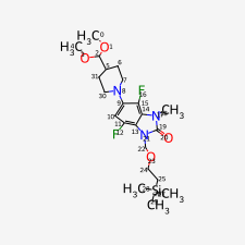 COC(OC)C1CCN(c2cc(F)c3c(c2F)n(C)c(=O)n3COCC[Si](C)(C)C)CC1